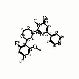 COc1cc(F)cc(F)c1C1CN(c2nc(-c3ccncc3)cc(=O)n2C)CCO1